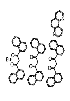 O=C(CC(=O)c1cccc2ccccc12)c1cccc2ccccc12.O=C(CC(=O)c1cccc2ccccc12)c1cccc2ccccc12.O=C(CC(=O)c1cccc2ccccc12)c1cccc2ccccc12.[Eu].c1cnc2c(c1)ccc1ncccc12